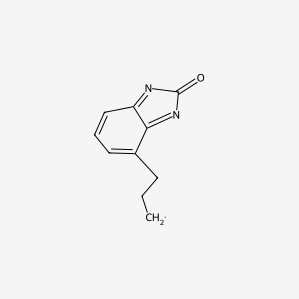 [CH2]CCc1cccc2c1=NC(=O)N=2